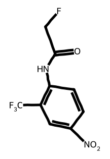 O=C(CF)Nc1ccc([N+](=O)[O-])cc1C(F)(F)F